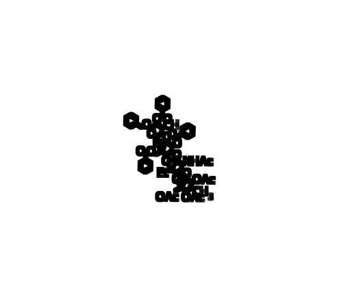 CCC1O[C@@H](O[C@@H]2C(OC(=O)c3ccccc3)[C@H](O[C@@H]3C(CC)O[C@@H](OCc4ccccc4)C(OC(=O)c4ccccc4)[C@H]3C)OC(COC(=O)c3ccccc3)[C@@H]2O)C(NC(C)=O)[C@@H](O[C@@H]2OC(COC(C)=O)[C@H](OC(C)=O)[C@H](C)C2OC(C)=O)[C@@H]1C